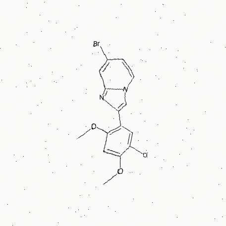 COc1cc(OC)c(-c2cn3ccc(Br)cc3n2)cc1Cl